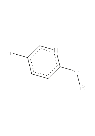 CCC(C)Oc1ccc(Br)cn1